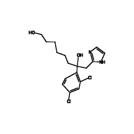 OCCCCCCC(O)(Cc1ncc[nH]1)c1ccc(Cl)cc1Cl